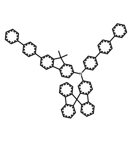 CC1(C)c2cc(-c3ccc(-c4ccccc4)cc3)ccc2-c2ccc(N(c3ccc(-c4ccc(-c5ccccc5)cc4)cc3)c3ccc4c(c3)C3(c5ccccc5-c5ccccc53)c3ccccc3-4)cc21